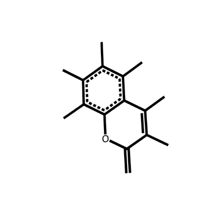 C=C1Oc2c(C)c(C)c(C)c(C)c2C(C)=C1C